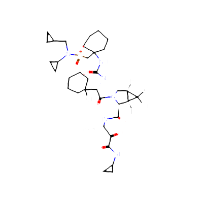 CCC[C@H](NC(=O)[C@@H]1[C@@H]2[C@H](CN1C(=O)[C@@H](NC(=O)NC1(CS(=O)(=O)N(CC3CC3)C3CC3)CCCCC1)C1(C)CCCCC1)C2(C)C)C(=O)C(=O)NC1CC1